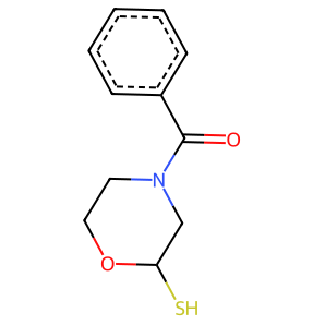 O=C(c1ccccc1)N1CCOC(S)C1